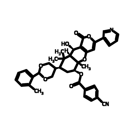 Cc1ccccc1C1OCC([C@@H]2C[C@H](OC(=O)c3ccc(C#N)cc3)[C@@]3(C)Oc4cc(-c5cccnc5)oc(=O)c4[C@H](O)[C@@H]3C2(C)C)CO1